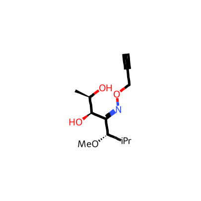 C#CCO/N=C(/[C@@H](OC)C(C)C)[C@@H](O)[C@@H](C)O